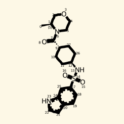 C[C@H]1COCCN1C(=O)[C@H]1CC[C@H](NS(=O)(=O)c2ccc3cc[nH]c3c2)CC1